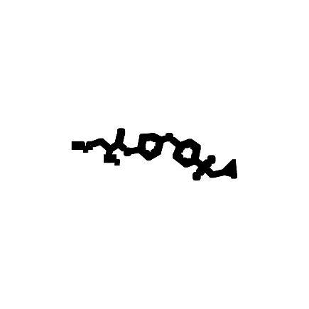 NC(CC(=O)O)C(=O)Oc1ccc(Oc2ccc(S(=O)(=O)CC3CS3)cc2)cc1